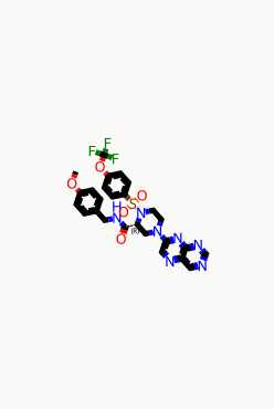 COc1ccc(CNC(=O)[C@H]2CN(c3cnc4cncnc4n3)CCN2S(=O)(=O)c2ccc(OC(F)(F)F)cc2)cc1